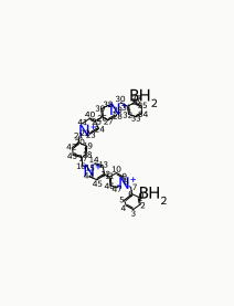 Bc1ccccc1C[n+]1ccc(-c2cc[n+](Cc3ccc(C[n+]4ccc(-c5cc[n+](Cc6ccccc6B)cc5)cc4)cc3)cc2)cc1